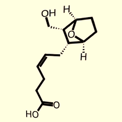 O=C(O)CC/C=C\C[C@@H]1[C@H](CO)[C@H]2CC[C@@H]1O2